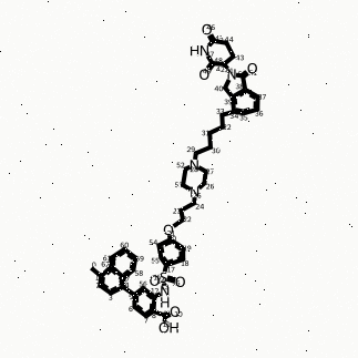 Cc1ccc(-c2ccc(C(=O)O)c(NS(=O)(=O)c3ccc(OCCCN4CCN(CCCCCc5cccc6c5CN(C5CCC(=O)NC5=O)C6=O)CC4)cc3)c2)c2ccccc12